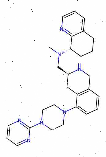 CN(C[C@@H]1Cc2c(cccc2N2CCN(c3ncccn3)CC2)CN1)[C@H]1CCCc2cccnc21